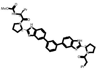 COC(=O)N[C@H](C(=O)N1CCC[C@H]1c1nc2cc(-c3cccc(-c4ccc5[nH]c([C@@H]6CCCN6C(=O)CC(C)C)nc5c4)c3)ccc2[nH]1)C(C)C